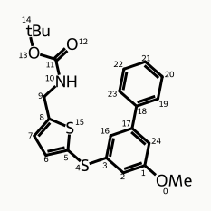 COc1cc(Sc2ccc(CNC(=O)OC(C)(C)C)s2)cc(-c2ccccc2)c1